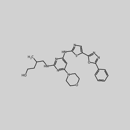 CC(CCO)CNc1nc(Nc2ncc(-c3nnc(-c4ccccc4)o3)s2)cc(N2CCOCC2)n1